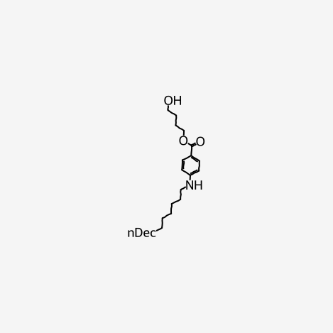 CCCCCCCCCCCCCCCCNc1ccc(C(=O)OCCCCO)cc1